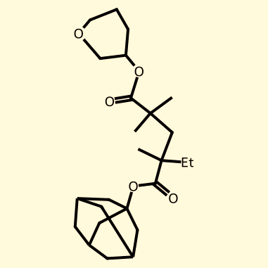 CCC(C)(CC(C)(C)C(=O)OC1CCCOC1)C(=O)OC12CC3CC(CC(C3)C1)C2